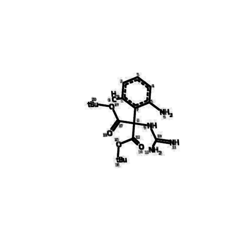 Cc1cccc(N)c1C(NC(=N)N)(C(=O)OC(C)(C)C)C(=O)OC(C)(C)C